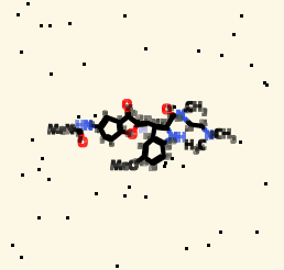 CNC(=O)Nc1ccc2c(c1)C(=O)/C(=C/c1c(C(=O)N(C)CCN(C)C)[nH]c3ccc(OC)cc13)O2